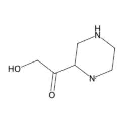 O=C(CO)C1CNCC[N]1